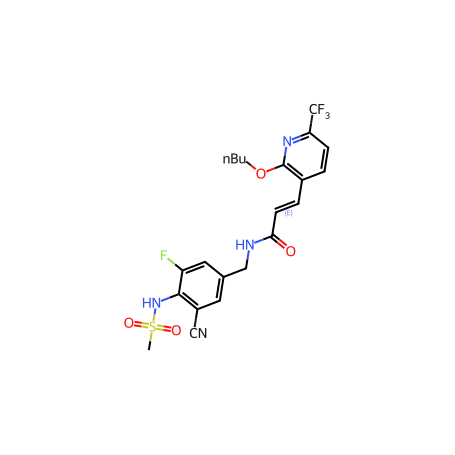 CCCCOc1nc(C(F)(F)F)ccc1/C=C/C(=O)NCc1cc(F)c(NS(C)(=O)=O)c(C#N)c1